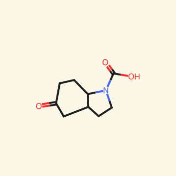 O=C1CCC2C(CCN2C(=O)O)C1